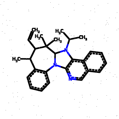 C=CC1C(C)c2ccccc2N2c3ncc4ccccc4c3N(C(C)C)C2C1(C)C